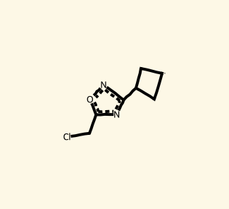 ClCc1nc(C2C[CH]C2)no1